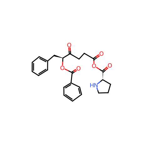 O=C(CCC(=O)[C@H](Cc1ccccc1)OC(=O)c1ccccc1)OC(=O)[C@@H]1CCCN1